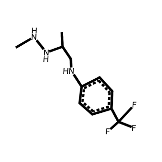 CNNC(C)CNc1ccc(C(F)(F)F)cc1